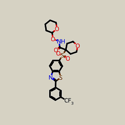 O=C(NOC1CCCCO1)C1(S(=O)(=O)c2ccc3nc(-c4cccc(C(F)(F)F)c4)sc3c2)CCOCC1